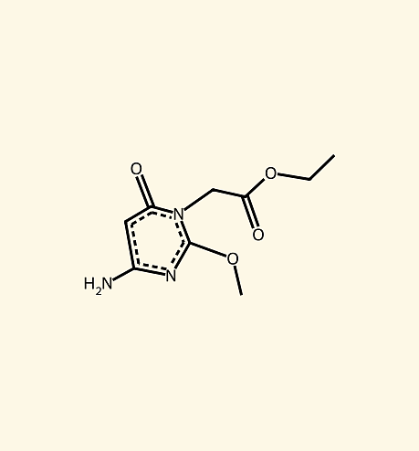 CCOC(=O)Cn1c(OC)nc(N)cc1=O